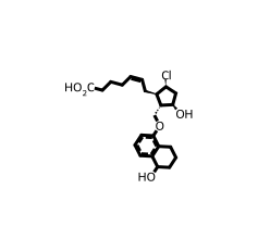 O=C(O)CCC/C=C\C[C@@H]1[C@@H](COc2cccc3c2CCCC3O)[C@H](O)C[C@H]1Cl